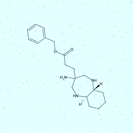 NC1(CCC(=O)OCc2ccccc2)CN[C@@H]2CCCC[C@H]2NC1